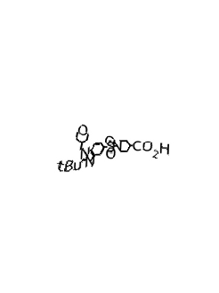 CC(C)(C)c1nc2cc(S(=O)(=O)N3CCC(C(=O)O)CC3)ccc2n1CC1CCOCC1